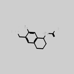 O=C(NC1CCCc2cc(CO)c([N+](=O)[O-])cc21)C(F)(F)F